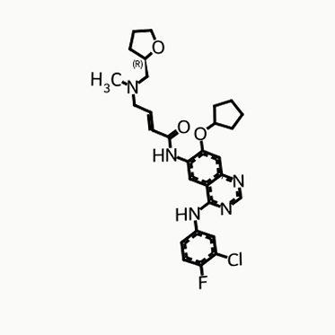 CN(CC=CC(=O)Nc1cc2c(Nc3ccc(F)c(Cl)c3)ncnc2cc1OC1CCCC1)C[C@H]1CCCO1